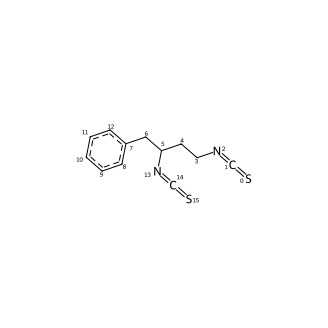 S=C=NCCC(Cc1ccccc1)N=C=S